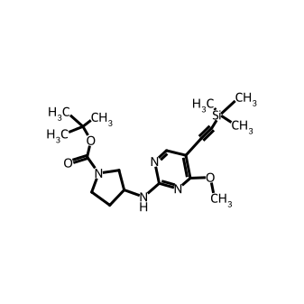 COc1nc(NC2CCN(C(=O)OC(C)(C)C)C2)ncc1C#C[Si](C)(C)C